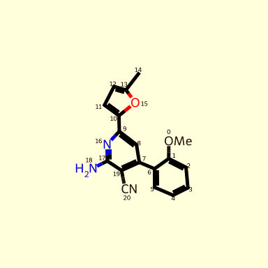 COc1ccccc1-c1cc(-c2ccc(C)o2)nc(N)c1C#N